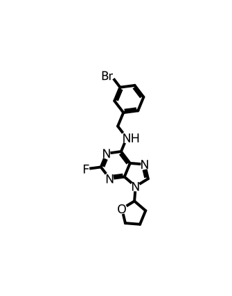 Fc1nc(NCc2cccc(Br)c2)c2ncn(C3CCCO3)c2n1